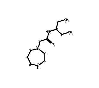 CCC(CC)NC(=O)CN1CCCNCC1